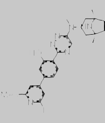 CSc1cc(-c2ccc(-c3ncc(N(C)[C@H]4C[C@]5(C)CC[C@](C)(C4)N5)nn3)c(O)c2)cc(F)n1